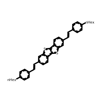 CCCCCCc1ccc(/C=C/c2ccc3c(c2)sc2c4ccc(/C=C/c5ccc(CCCCCC)cc5)cc4sc32)cc1